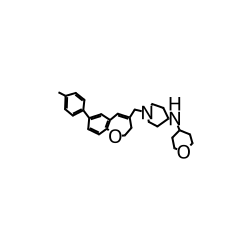 Cc1ccc(-c2ccc3c(c2)C=C(CN2CCC(NC4CCOCC4)CC2)CCO3)cc1